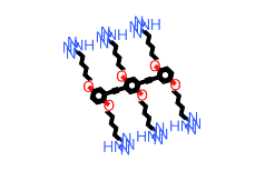 C(#Cc1cc(OCCCCCc2nnn[nH]2)c(C#Cc2cc(OCCCCCc3nnn[nH]3)ccc2OCCCCCc2nnn[nH]2)cc1OCCCCCc1nnn[nH]1)c1cc(OCCCCCc2nnn[nH]2)ccc1OCCCCCc1nnn[nH]1